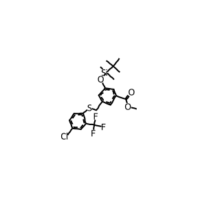 COC(=O)c1cc(CSc2ccc(Cl)cc2C(F)(F)F)cc(O[Si](C)(C)C(C)(C)C)c1